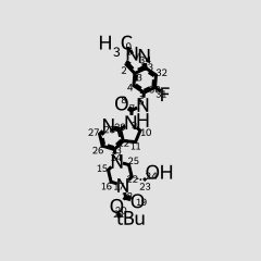 Cn1cc2cc(NC(=O)N3CCc4c(N5CCN(C(=O)OC(C)(C)C)[C@@H](CO)C5)ccnc43)c(F)cc2n1